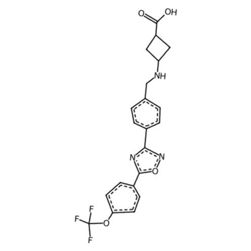 O=C(O)C1CC(NCc2ccc(-c3noc(-c4ccc(OC(F)(F)F)cc4)n3)cc2)C1